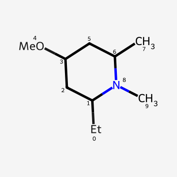 CCC1CC(OC)CC(C)N1C